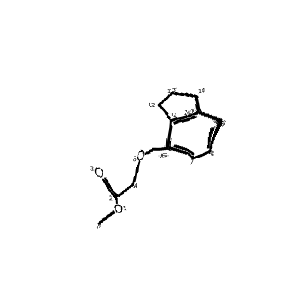 COC(=O)COc1cccc2c1CCC2